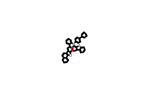 c1ccc(-c2ccc(N(c3ccccc3-c3ccc4oc5c6ccccc6ccc5c4c3)c3cccc4c3sc3ccccc34)cc2)cc1